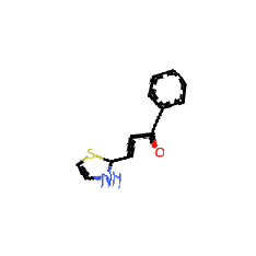 O=C(/C=C/C1NC=CS1)c1ccccc1